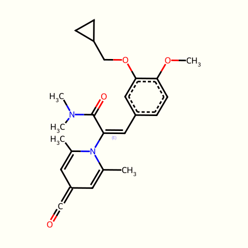 COc1ccc(/C=C(\C(=O)N(C)C)N2C(C)=CC(=C=O)C=C2C)cc1OCC1CC1